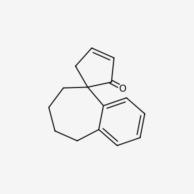 O=C1C=CCC12CCCCc1ccccc12